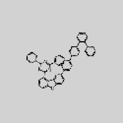 c1ccc(-c2nc(-c3ccccc3)nc(-c3cccc4oc5ccc(-c6ccc(-c7ccc(-c8ccccc8-c8ccccc8)cc7)cc6)cc5c34)n2)cc1